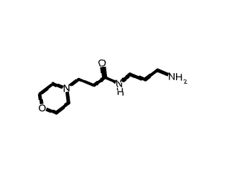 NCCCNC(=O)CCN1CCOCC1